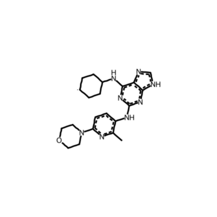 Cc1nc(N2CCOCC2)ccc1Nc1nc(NC2CC[CH]CC2)c2nc[nH]c2n1